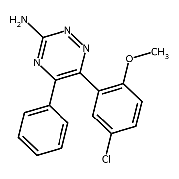 COc1ccc(Cl)cc1-c1nnc(N)nc1-c1ccccc1